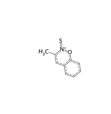 Cc1cc2ccccc2o[n+]1=S